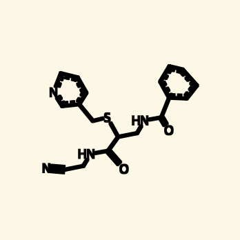 N#CCNC(=O)C(CNC(=O)c1ccccc1)SCc1cccnc1